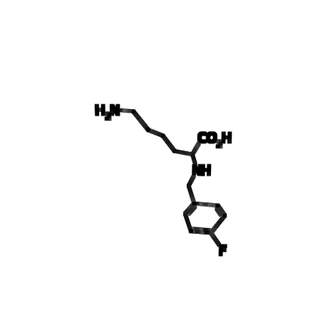 NCCCCC(NCc1ccc(F)cc1)C(=O)O